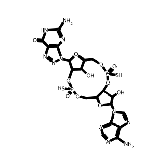 Nc1nc2c(nnn2C2OC3COP(=O)(S)OC4C(COP(=O)(S)OC2C3O)OC(n2cnc3c(N)ncnc32)C4O)c(=O)[nH]1